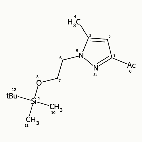 CC(=O)c1cc(C)n(CCO[Si](C)(C)C(C)(C)C)n1